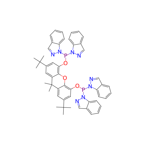 CC(C)(C)c1cc(OP(n2ncc3ccccc32)n2ncc3ccccc32)c2c(c1)C(C)(C)c1cc(C(C)(C)C)cc(OP(n3ncc4ccccc43)n3ncc4ccccc43)c1O2